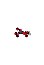 C=C(/C=C\C(=C/CC)c1ccc(N(c2ccc(-n3c4ccccc4c4ccccc43)cc2)c2cccc(-c3ccccc3)c2)cc1)N(c1ccccc1)c1ccccc1